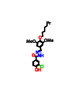 COc1cc(/C=N/NC(=O)c2ccc(O)c(Cl)c2)cc(OC)c1OCCCCCC(C)C